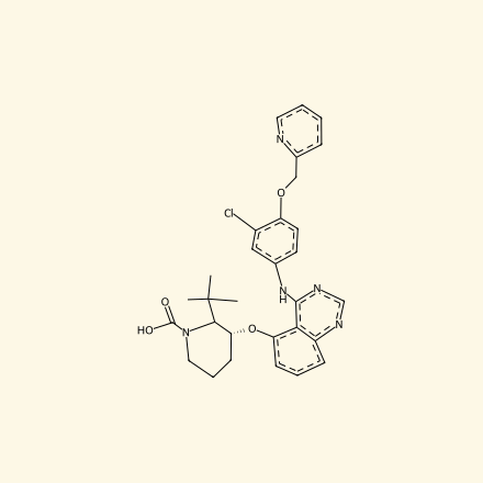 CC(C)(C)C1[C@H](Oc2cccc3ncnc(Nc4ccc(OCc5ccccn5)c(Cl)c4)c23)CCCN1C(=O)O